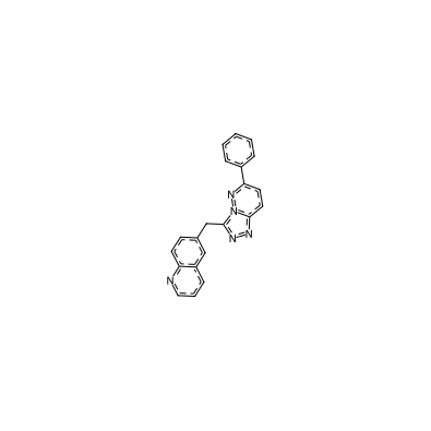 c1ccc(-c2ccc3nnc(Cc4ccc5ncccc5c4)n3n2)cc1